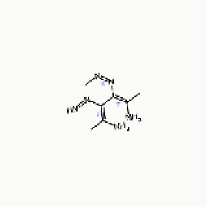 C\N=N/C(=C(\C)N)C(/N=N)=C(/C)N